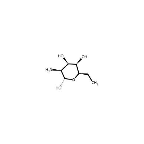 CC[C@H]1O[C@H](O)[C@@H](N)[C@@H](O)[C@H]1O